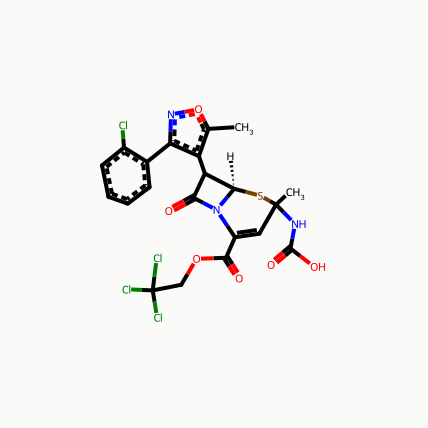 Cc1onc(-c2ccccc2Cl)c1C1C(=O)N2C(C(=O)OCC(Cl)(Cl)Cl)=CC(C)(NC(=O)O)S[C@H]12